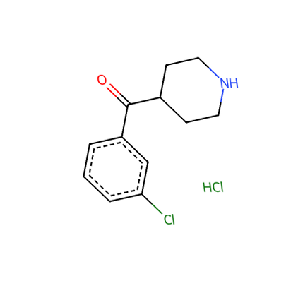 Cl.O=C(c1cccc(Cl)c1)C1CCNCC1